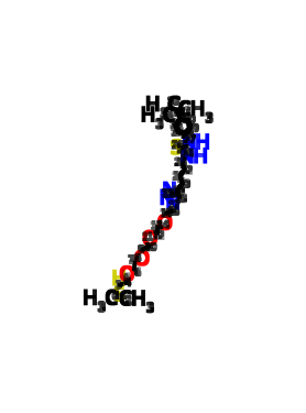 C[SH](C)CCOCCOCCOCCOCCn1cc(CCCCNC(=S)Nc2ccc(C(C)(C)C)cc2)nn1